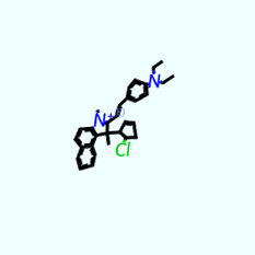 CCN(CC)c1ccc(/C=C/C2=[N+](C)c3ccc4ccccc4c3C2(C)C2C=CCC2Cl)cc1